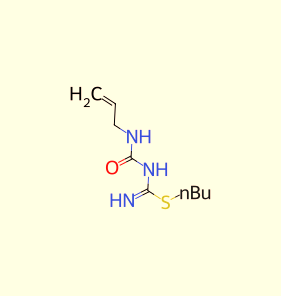 C=CCNC(=O)NC(=N)SCCCC